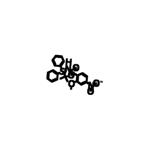 COc1cc([N+](=O)[O-])ccc1S(=O)(=O)N[Si](c1ccccc1)(c1ccccc1)C(C)(C)C